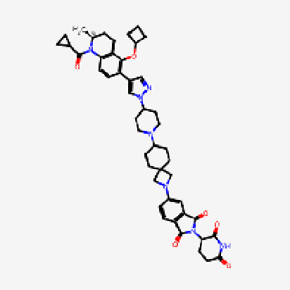 C[C@H]1CCc2c(ccc(-c3cnn(C4CCN(C5CCC6(CC5)CN(c5ccc7c(c5)C(=O)N(C5CCC(=O)NC5=O)C7=O)C6)CC4)c3)c2OC2CCC2)N1C(=O)C1CC1